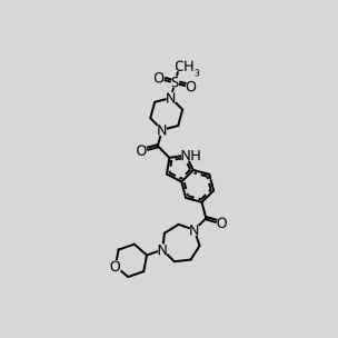 CS(=O)(=O)N1CCN(C(=O)c2cc3cc(C(=O)N4CCCN(C5CCOCC5)CC4)ccc3[nH]2)CC1